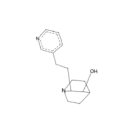 OC1C2CCN(CC2)C1CCc1cccnc1